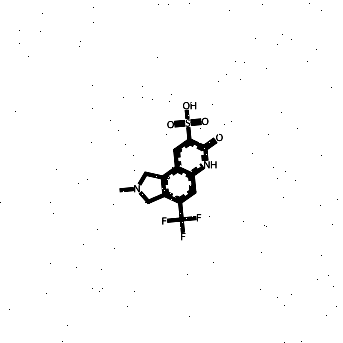 CN1Cc2c(C(F)(F)F)cc3[nH]c(=O)c(S(=O)(=O)O)cc3c2C1